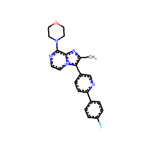 Cc1nc2c(N3CCOCC3)nccn2c1-c1ccc(-c2ccc(F)cc2)nc1